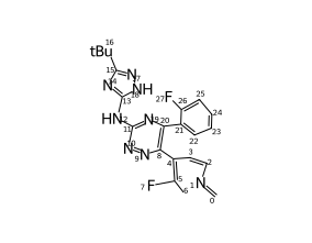 C=N/C=C\C(=C(/C)F)c1nnc(Nc2nc(C(C)(C)C)n[nH]2)nc1-c1ccccc1F